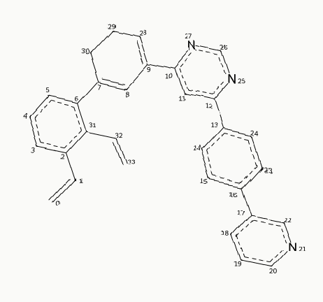 C=Cc1cccc(C2=CC(c3cc(-c4ccc(-c5cccnc5)cc4)ncn3)=CCC2)c1C=C